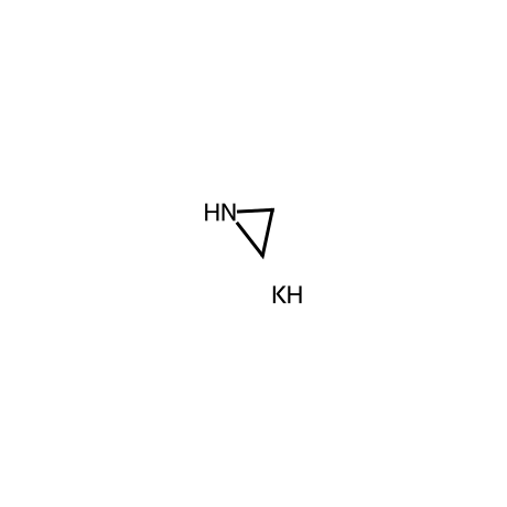 C1CN1.[KH]